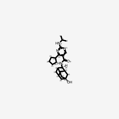 CC(C)Nc1ncc(C(=O)N[C@H]2C3CC4CC2C[C@@](O)(C4)C3)c(C2CCCC2)n1